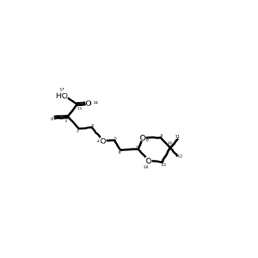 C=C(CCOCCC1OCC(C)(C)CO1)C(=O)O